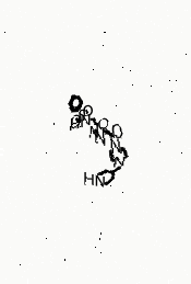 O=C(c1nnc(CNS(=O)(=O)c2ccccc2)o1)N1CCN(CC2CCNCC2)CC1